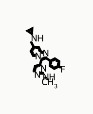 CNc1nccc(-c2c(-c3ccc(F)cc3)nc3cc(CNC4CC4)ccn23)n1